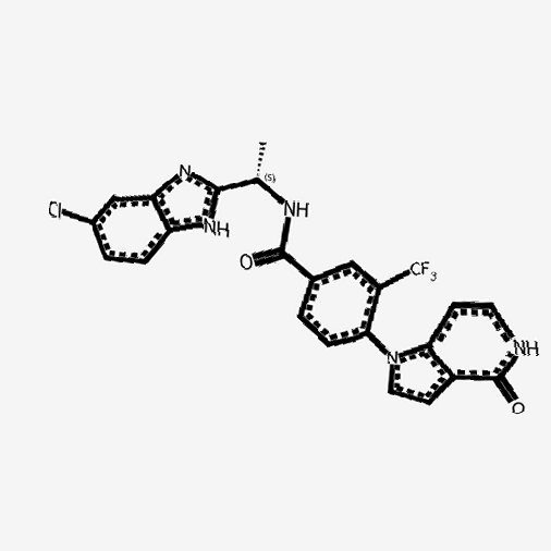 C[C@H](NC(=O)c1ccc(-n2ccc3c(=O)[nH]ccc32)c(C(F)(F)F)c1)c1nc2cc(Cl)ccc2[nH]1